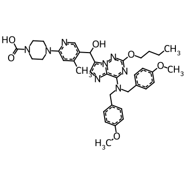 CCCCOc1nc(N(Cc2ccc(OC)cc2)Cc2ccc(OC)cc2)c2ncc(C(O)c3cnc(N4CCN(C(=O)O)CC4)cc3C)n2n1